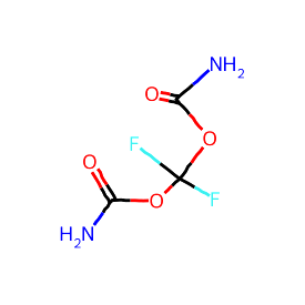 NC(=O)OC(F)(F)OC(N)=O